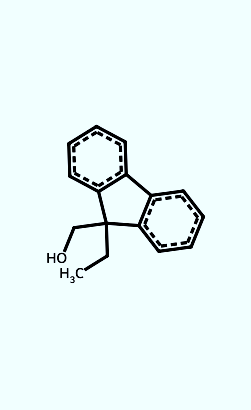 CCC1(CO)c2ccccc2-c2ccccc21